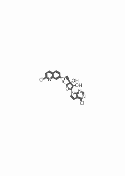 C#C[C@@]1(O)[C@@H](COc2ccc3ccc(Cl)nc3c2)O[C@@H](n2ccc3c(Cl)ncnc32)[C@@H]1O